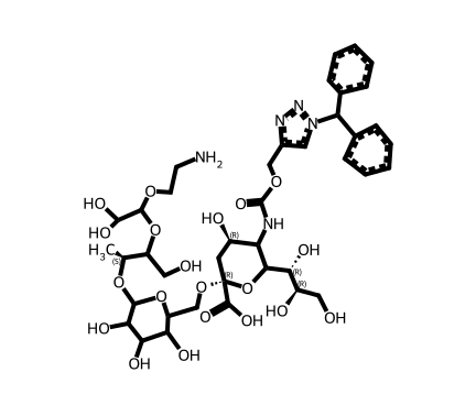 C[C@H](OC1OC(CO[C@]2(C(=O)O)C[C@@H](O)C(NC(=O)OCc3cn(C(c4ccccc4)c4ccccc4)nn3)C([C@H](O)[C@H](O)CO)O2)C(O)C(O)C1O)C(CO)OC(OCCN)C(O)O